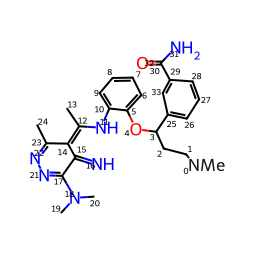 CNCCC(Oc1ccccc1N/C(C)=C1\C(=N)C(N(C)C)=NN=C1C)c1cccc(C(N)=O)c1